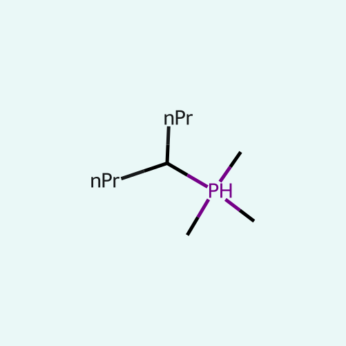 CCCC(CCC)[PH](C)(C)C